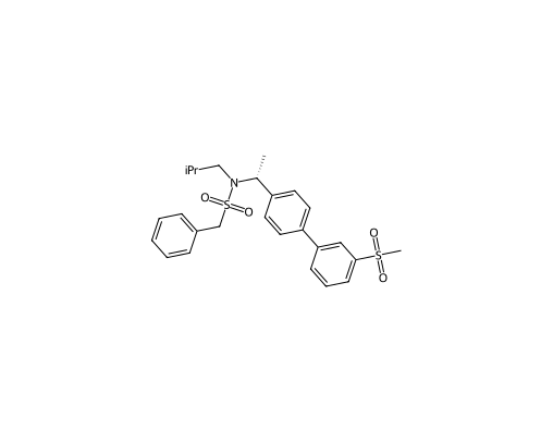 CC(C)CN([C@H](C)c1ccc(-c2cccc(S(C)(=O)=O)c2)cc1)S(=O)(=O)Cc1ccccc1